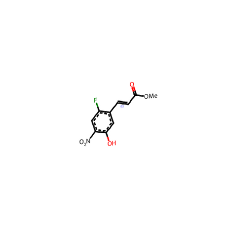 COC(=O)/C=C/c1cc(O)c([N+](=O)[O-])cc1F